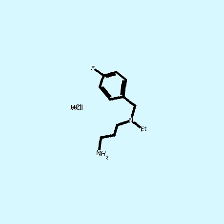 CCN(CCCN)Cc1ccc(F)cc1.Cl.Cl